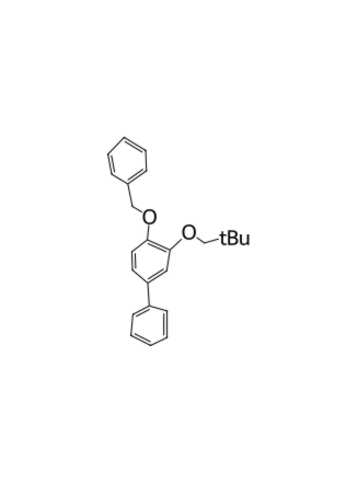 CC(C)(C)COc1cc(-c2ccccc2)ccc1OCc1ccccc1